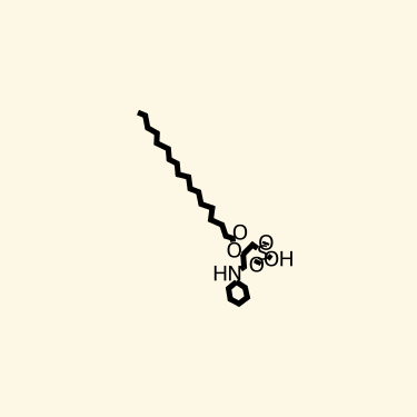 CCCCCCCCCCCCCCCCCC(=O)OC(CNC1CCCCC1)CS(=O)(=O)O